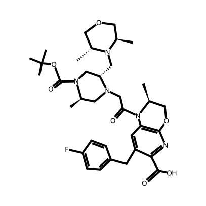 C[C@@H]1CN(CC(=O)N2c3cc(Cc4ccc(F)cc4)c(C(=O)O)nc3OC[C@@H]2C)[C@@H](CN2[C@H](C)COC[C@H]2C)CN1C(=O)OC(C)(C)C